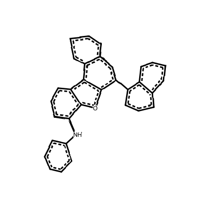 c1ccc(Nc2cccc3c2oc2c(-c4cccc5ccccc45)cc4ccccc4c23)cc1